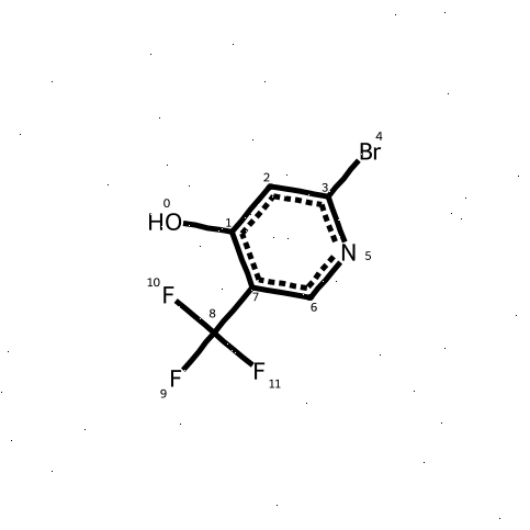 Oc1cc(Br)ncc1C(F)(F)F